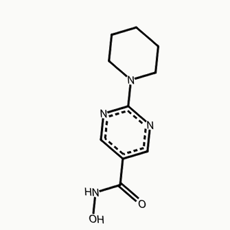 O=C(NO)c1cnc(N2CCCCC2)nc1